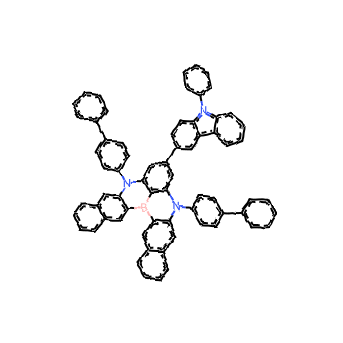 c1ccc(-c2ccc(N3c4cc5ccccc5cc4B4c5cc6ccccc6cc5N(c5ccc(-c6ccccc6)cc5)c5cc(-c6ccc7c(c6)c6ccccc6n7-c6ccccc6)cc3c54)cc2)cc1